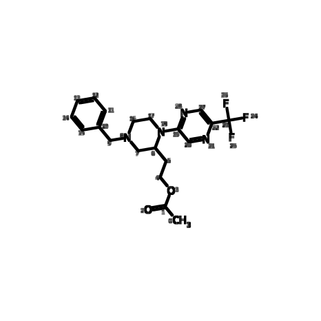 CC(=O)OCCC1CN(Cc2ccccc2)CCN1c1cnc(C(F)(F)F)cn1